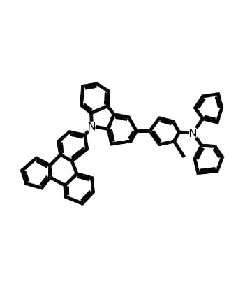 CC1C=C(c2ccc3c(c2)c2ccccc2n3-c2ccc3c4ccccc4c4ccccc4c3c2)C=CC1N(c1ccccc1)c1ccccc1